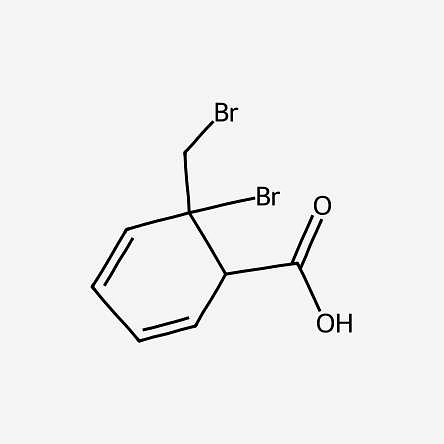 O=C(O)C1C=CC=CC1(Br)CBr